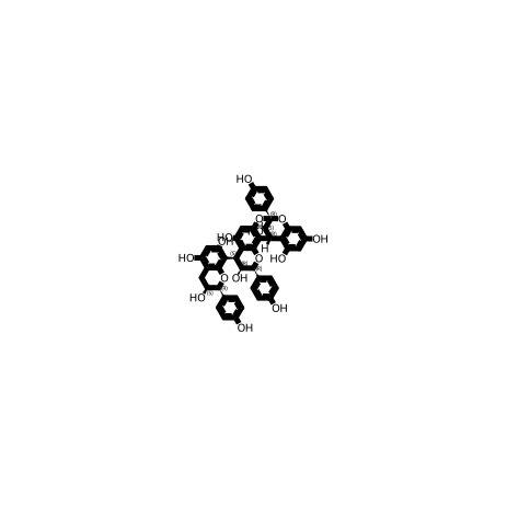 Oc1ccc([C@H]2Oc3c(c(O)cc4c3[C@H]3c5c(O)cc(O)cc5O[C@](c5ccc(O)cc5)(O4)[C@H]3O)[C@H](c3c(O)cc(O)c4c3O[C@H](c3ccc(O)cc3)[C@@H](O)C4)[C@H]2O)cc1